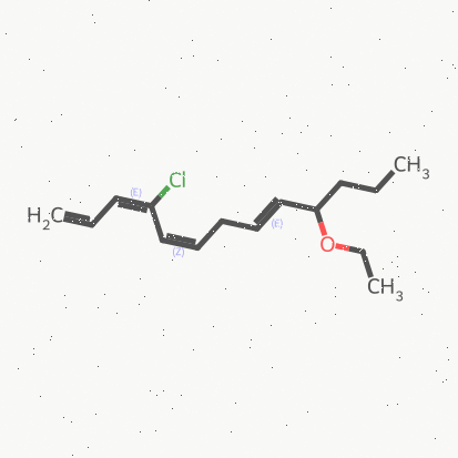 C=C/C=C(Cl)\C=C/C/C=C/C(CCC)OCC